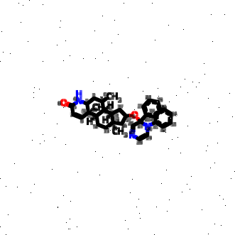 CC1CC2NC(=O)C=C[C@]2(C)[C@@H]2CC[C@]3(C)CC(OC4(c5ccccc5)C=NC=CN4c4ccccc4)C[C@H]3[C@H]12